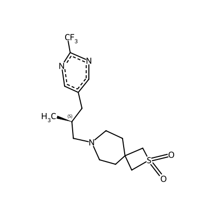 C[C@@H](Cc1cnc(C(F)(F)F)nc1)CN1CCC2(CC1)CS(=O)(=O)C2